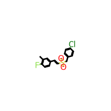 Cc1cc(/C=C/S(=O)(=O)Cc2ccc(Cl)cc2)ccc1F